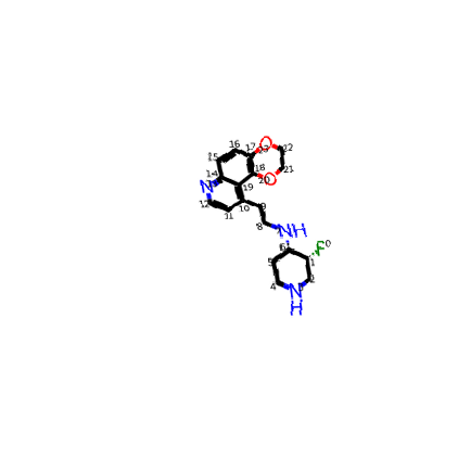 F[C@@H]1CNCC[C@@H]1NCCc1ccnc2ccc3c(c12)OCCO3